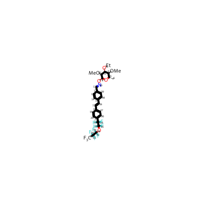 CCO[C@@H]1[C@@H](OC)[C@H](C)O[C@@H](ON=Cc2ccc(C=Cc3ccc(C(F)(F)C(F)(F)OC(F)(F)C(F)(F)C(F)(F)F)cc3)cc2)[C@@H]1OC